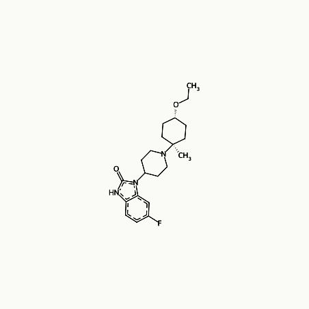 CCO[C@H]1CC[C@](C)(N2CCC(n3c(=O)[nH]c4ccc(F)cc43)CC2)CC1